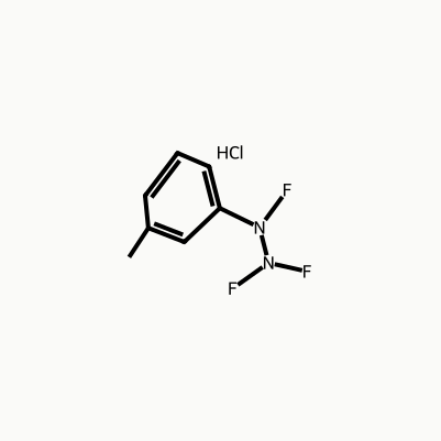 Cc1cccc(N(F)N(F)F)c1.Cl